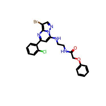 O=C(COc1ccccc1)NCCNc1cc(-c2ccccc2Cl)nc2c(Br)cnn12